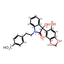 O=C(O)c1ccc(CCN2C(=O)C(O)(c3cc4c(cc3O)OCO4)c3ccccc32)cc1